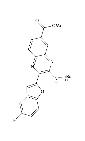 CC[C@@H](C)Nc1nc2cc(C(=O)OC)ccc2nc1-c1cc2cc(F)ccc2o1